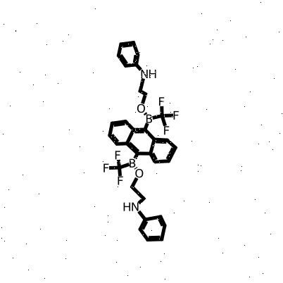 FC(F)(F)B(OCCNc1ccccc1)c1c2ccccc2c(B(OCCNc2ccccc2)C(F)(F)F)c2ccccc12